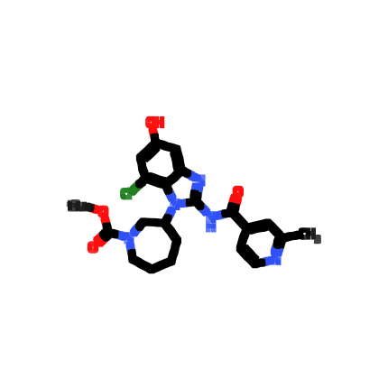 Cc1cc(C(=O)Nc2nc3cc(O)cc(Cl)c3n2C2CCCCN(C(=O)OC(C)(C)C)C2)ccn1